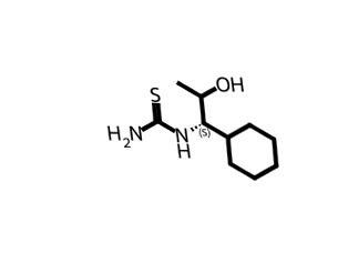 CC(O)[C@@H](NC(N)=S)C1CCCCC1